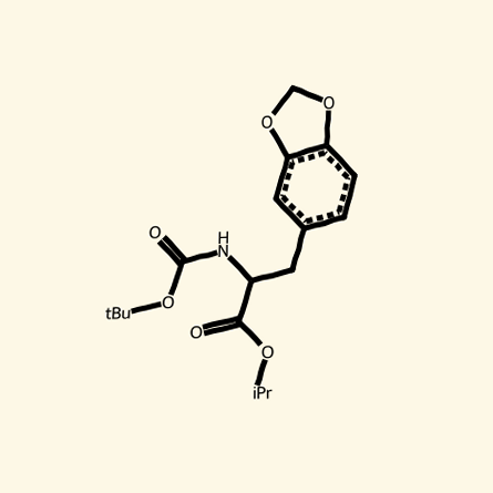 CC(C)OC(=O)C(Cc1ccc2c(c1)OCO2)NC(=O)OC(C)(C)C